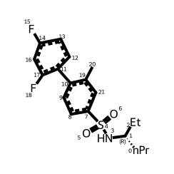 CCC[C@@H](CC)NS(=O)(=O)c1ccc(-c2ccc(F)cc2F)c(C)c1